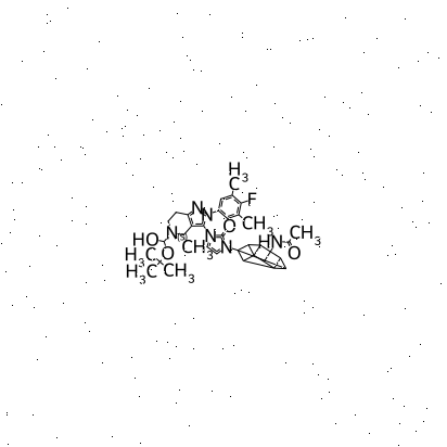 CC(=O)NC12C3C4C35C1C13C2C1C4(n1ccn(-c2c4c(nn2-c2cc(C)c(F)c(C)c2)CCN(C(O)OC(C)(C)C)[C@H]4C)c1=O)C53